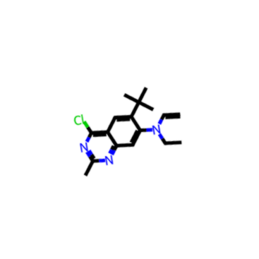 C=CN(CC)c1cc2nc(C)nc(Cl)c2cc1C(C)(C)C